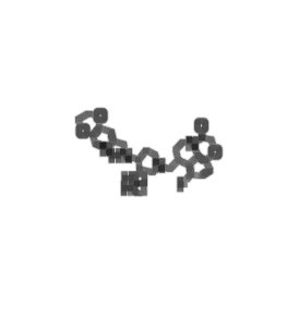 Cl.Cl.O=C1COc2ccc(F)c3c2N1CCC3CN1CCC(NCc2cc3c(cn2)OCCO3)CC1